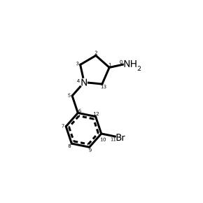 NC1CCN(Cc2cccc(Br)c2)C1